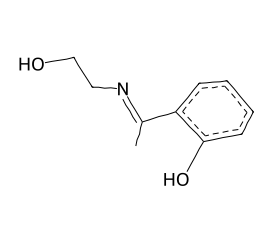 C/C(=N\CCO)c1ccccc1O